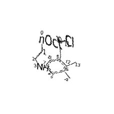 CCCCCCCCCCN.Cc1cccc(CCl)c1C